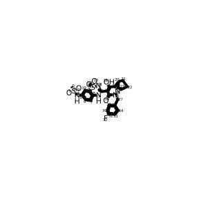 CS(=O)(=O)Nc1ccc2c(c1)S(=O)(=O)N=C(C1=C(O)C3C4CCC(C4)N3N(Cc3ccc(F)cc3)C1=O)N2